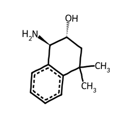 CC1(C)C[C@@H](O)[C@H](N)c2ccccc21